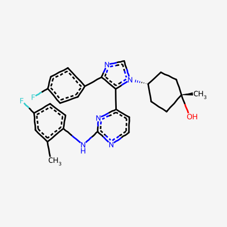 Cc1cc(F)ccc1Nc1nccc(-c2c(-c3ccc(F)cc3)ncn2[C@H]2CC[C@@](C)(O)CC2)n1